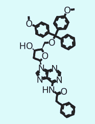 COc1ccc(C(OC[C@H]2O[C@@H](n3cnc4c(NC(=O)Cc5ccccc5)ncnc43)C[C@@H]2O)(c2ccccc2)c2ccc(OC)cc2)cc1